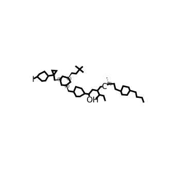 CCCCC1CCC(CC[C@@H](C)CCC(CC(O)C2CCC(C[C@@H]3C[C@H](CCC(C)(C)C)C[C@H](CC4(C5CCC(I)CC5)CC4)C3)CC2)C(C)CC)CC1